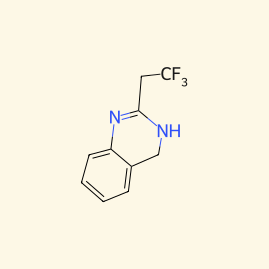 FC(F)(F)CC1=Nc2ccccc2CN1